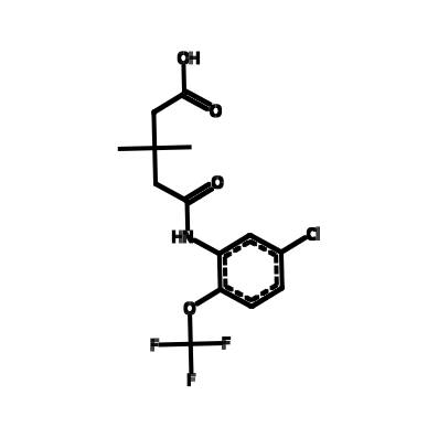 CC(C)(CC(=O)O)CC(=O)Nc1cc(Cl)ccc1OC(F)(F)F